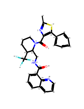 Cc1nc(C(=O)N2CCCC(C(F)(F)F)C2CNC(=O)c2cccc3cccnc23)c(-c2ccccc2)s1